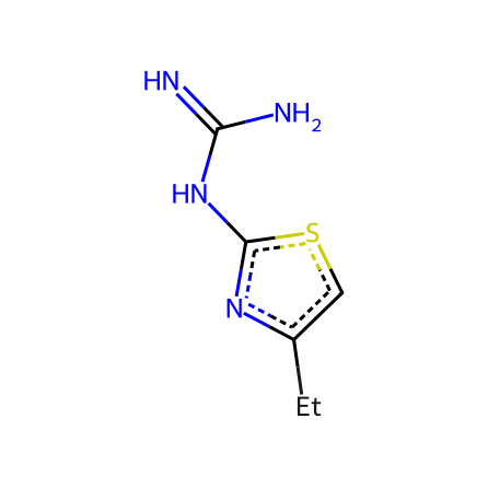 [CH2]Cc1csc(NC(=N)N)n1